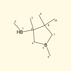 CBC1(C)CB(C)CC1(C)C